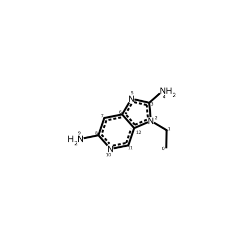 CCn1c(N)nc2cc(N)ncc21